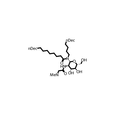 CCCCCCCCCCCCCCCCCC(=O)N(CCCCCCCCCCCCCC)[C@@H]1O[C@H](CO)[C@@H](O)[C@H](O)[C@H]1NC(=O)CNC